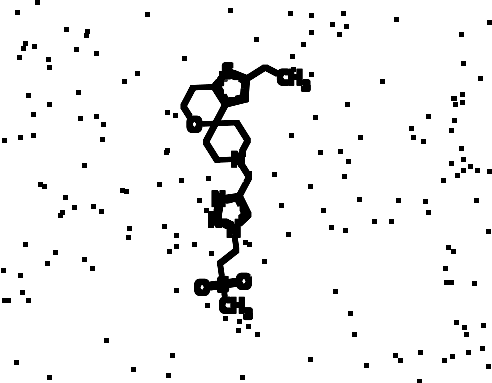 CCc1cc2c(s1)CCOC21CCN(Cc2cn(CCS(C)(=O)=O)nn2)CC1